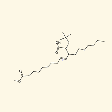 CCCCCCCC(/C=C/CCCCCCCC(=O)OC)C(CC(C)(C)C)C(=O)O